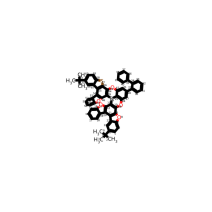 CC(C)(C)c1ccc2oc3c4c(c5oc6ccccc6c5c3c2c1)B1c2c(cc(-c3ccccc3-c3ccccc3)cc2Oc2c1c1oc3ccccc3c1c1c2sc2ccc(C(C)(C)C)cc21)O4